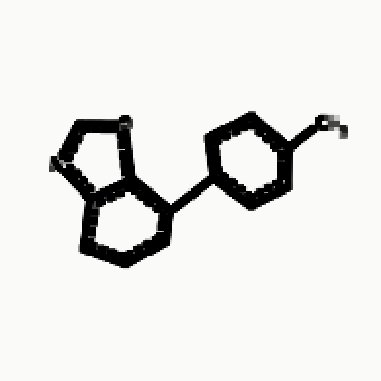 Cc1ccc(-c2cccc3ncoc23)cc1